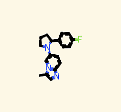 Cc1cnc2ccc(N3CCCC3c3ccc(F)cc3)cn12